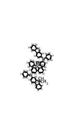 CC1(C)c2ccccc2-c2ccc(N(c3ccccc3)c3ccc([SH](C)(c4ccccc4)(c4ccccc4)c4cccc(N(c5ccccc5)c5ccc6c(c5)sc5ccccc56)c4)cc3)cc21